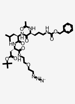 CC(=O)N[C@@H](CCCNC(=O)OCc1ccccc1)C(=O)N[C@H](CC(C)C)C(=O)N[C@@H](CC(=O)OC(C)(C)C)C(=O)NCCOCCN=[N+]=[N-]